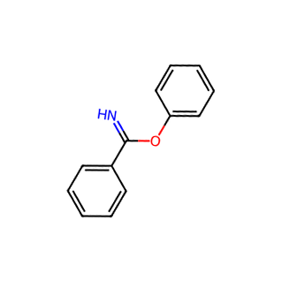 N=C(Oc1ccccc1)c1ccccc1